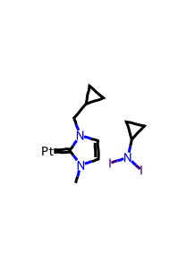 Cn1ccn(CC2CC2)[c]1=[Pt].IN(I)C1CC1